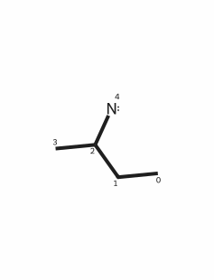 CCC(C)[N]